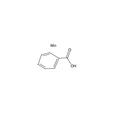 O=C(O)c1cc[c]cc1.[Mn]